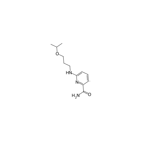 CC(C)OCCCNc1cc[c]c(C(N)=O)n1